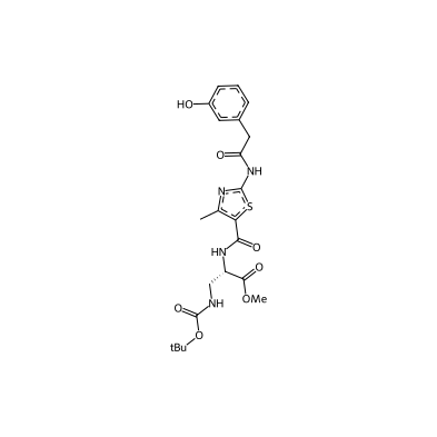 COC(=O)[C@H](CNC(=O)OC(C)(C)C)NC(=O)c1sc(NC(=O)Cc2cccc(O)c2)nc1C